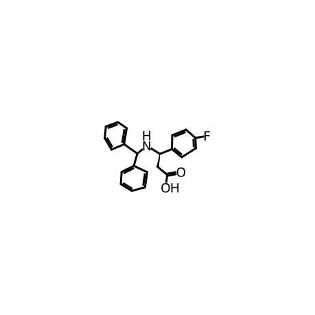 O=C(O)C[C@@H](NC(c1ccccc1)c1ccccc1)c1ccc(F)cc1